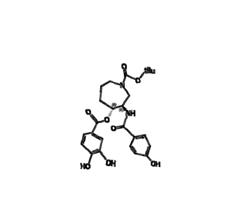 CC(C)(C)OC(=O)N1CCC[C@@H](OC(=O)c2ccc(O)c(O)c2)[C@H](NC(=O)c2ccc(O)cc2)C1